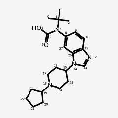 CC(C)(C)N(C(=O)O)c1ccc2ncn(C3CCN(C4CCCC4)CC3)c2c1